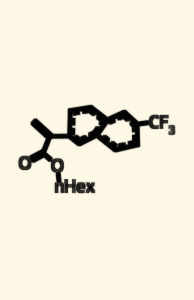 C=C(C(=O)OCCCCCC)c1ccc2cc(C(F)(F)F)ccc2c1